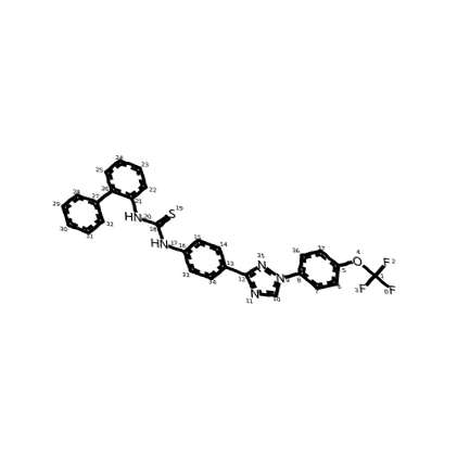 FC(F)(F)Oc1ccc(-n2cnc(-c3ccc(NC(=S)Nc4ccccc4-c4ccccc4)cc3)n2)cc1